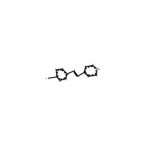 Ic1ccc(C=Cc2ccncc2)cc1